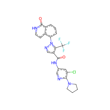 O=C(Nc1cnc(N2CCCC2)c(Cl)c1)c1cnn(-c2cccc3c(=O)[nH]ccc23)c1C(F)(F)F